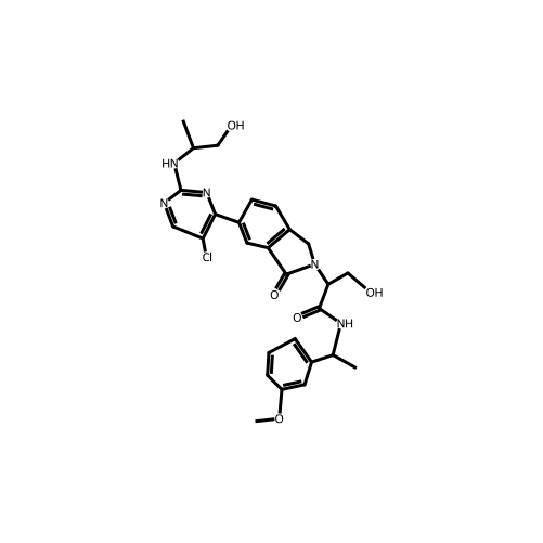 COc1cccc(C(C)NC(=O)C(CO)N2Cc3ccc(-c4nc(NC(C)CO)ncc4Cl)cc3C2=O)c1